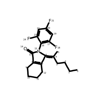 CCCCC(C)=C1C2=C(CCCC2)C(=O)N1c1c(F)cc(F)cc1F